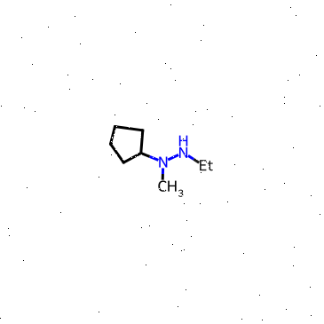 CCNN(C)C1CCCC1